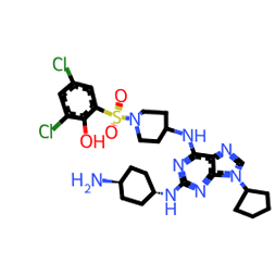 N[C@H]1CC[C@H](Nc2nc(NC3CCN(S(=O)(=O)c4cc(Cl)cc(Cl)c4O)CC3)c3ncn(C4CCCC4)c3n2)CC1